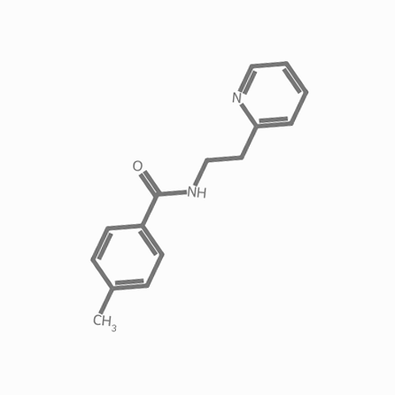 Cc1ccc(C(=O)NCCc2ccccn2)cc1